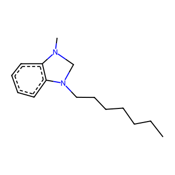 CCCCCCCN1CN(C)c2ccccc21